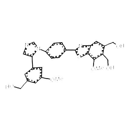 COc1cc(CO)cc(-c2cncn2-c2ccc(-c3nc4cc(CO)c(CO)c(OC)c4s3)cc2)c1